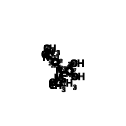 COC(=O)/N=C(SC)/C(=N/Cc1ccc(-c2noc(C)n2)cc1)c1cc(O)cc(CO)c1